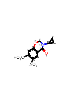 O=C(O)c1cc2c(cc1[N+](=O)[O-])C(=O)N(C1CC1)CO2